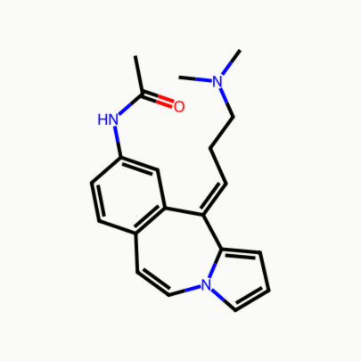 CC(=O)Nc1ccc2c(c1)/C(=C\CCN(C)C)c1cccn1C=C2